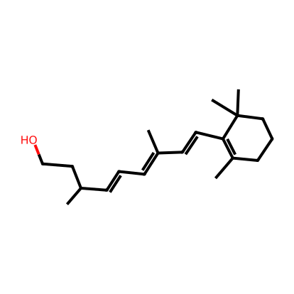 CC1=C(/C=C/C(C)=C/C=C/C(C)CCO)C(C)(C)CCC1